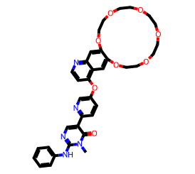 Cn1c(Nc2ccccc2)ncc(-c2ccc(Oc3ccnc4cc5c(cc34)OCCOCCOCCOCCOCCO5)cn2)c1=O